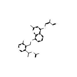 CCC(=O)NC(C)c1cncc(Cl)c1COc1cccc2c(N/C=C(/F)C=N)cc(C)nc12